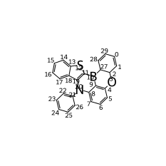 C1=CC2Oc3cccc4c3B(c3sc5ccccc5c3N4c3ccccc3)C2C=C1